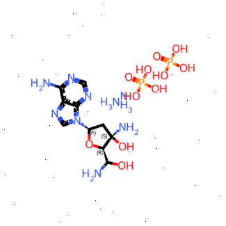 N.N.Nc1ncnc2c1ncn2[C@H]1C[C@](N)(O)[C@@H](C(N)O)O1.O=P(O)(O)O.O=P(O)(O)O